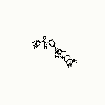 Cc1cn(-c2cccc(NC(=O)c3cnn(C)c3)c2)nc1Nc1ccc2[nH]ncc2c1